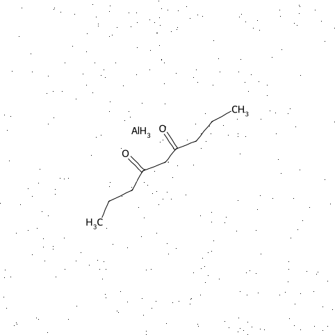 CCCC(=O)[CH]C(=O)CCC.[AlH3]